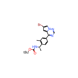 Cc1cc(-c2ncnn3cc(Br)cc23)ccc1[C@@H](C)NC(=O)OC(C)(C)C